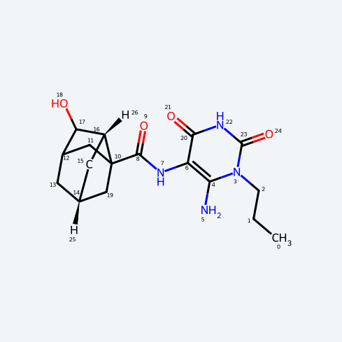 CCCn1c(N)c(NC(=O)C23CC4C[C@H](C[C@@H]2C4O)C3)c(=O)[nH]c1=O